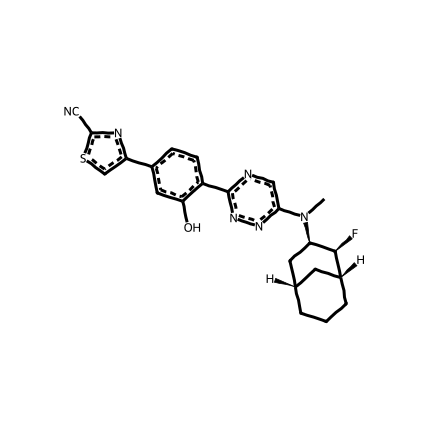 CN(c1cnc(-c2ccc(-c3csc(C#N)n3)cc2O)nn1)[C@@H]1C[C@H]2CCC[C@H](C2)[C@@H]1F